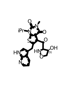 CC(C)n1c(=O)n(C)c(=O)c2c(C(=O)C3NOC[C@H]3O)c(Cc3c[nH]c4ncccc34)sc21